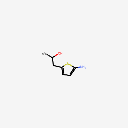 CCCC(O)Cc1ccc(N)s1